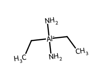 C[CH2][Al-]([NH2])([NH2])[CH2]C